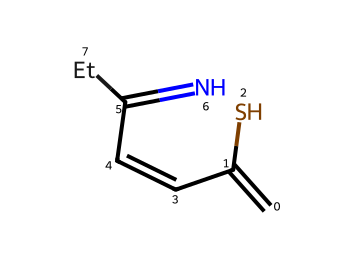 C=C(S)/C=C\C(=N)CC